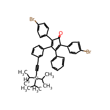 CC(C)[Si](C#Cc1cccc(C2=C(c3ccc(Br)cc3)C(=O)C(c3ccc(Br)cc3)=C2c2ccccc2)c1)(C(C)C)C(C)C